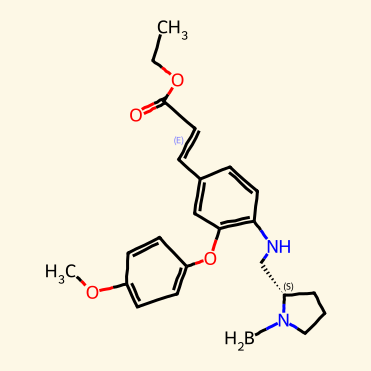 BN1CCC[C@H]1CNc1ccc(/C=C/C(=O)OCC)cc1Oc1ccc(OC)cc1